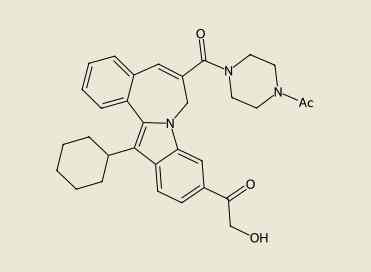 CC(=O)N1CCN(C(=O)C2=Cc3ccccc3-c3c(C4CCCCC4)c4ccc(C(=O)CO)cc4n3C2)CC1